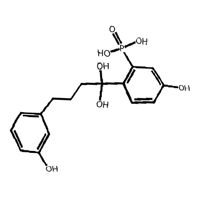 O=P(O)(O)c1cc(O)ccc1C(O)(O)CCCc1cccc(O)c1